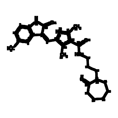 Cc1ccc2c(c1)/C(=C/c1[nH]c(C)c(C(=O)NCCCN3CCCCCC3=O)c1C)C(=O)N2